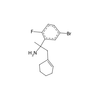 CC(N)(CC1=CCCCC1)c1cc(Br)ccc1F